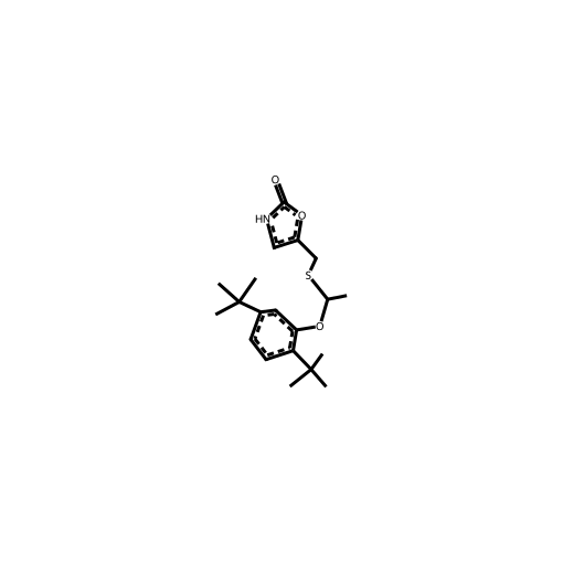 CC(Oc1cc(C(C)(C)C)ccc1C(C)(C)C)SCc1c[nH]c(=O)o1